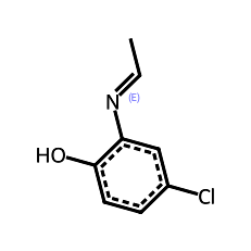 C/C=N/c1cc(Cl)ccc1O